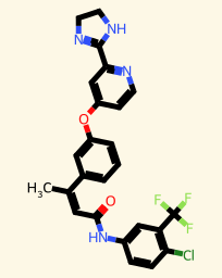 CC(=CC(=O)Nc1ccc(Cl)c(C(F)(F)F)c1)c1cccc(Oc2ccnc(C3=NCCN3)c2)c1